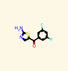 Nc1ncc(C(=O)c2cc(F)cc(F)c2)s1